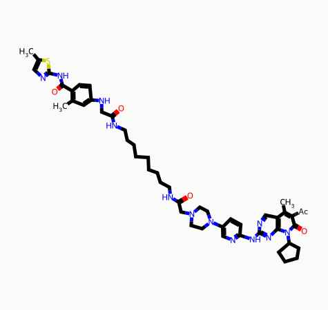 CC(=O)c1c(C)c2cnc(Nc3ccc(N4CCN(CC(=O)NCCCCCCCCCNC(=O)CNc5ccc(C(=O)Nc6ncc(C)s6)c(C)c5)CC4)cn3)nc2n(C2CCCC2)c1=O